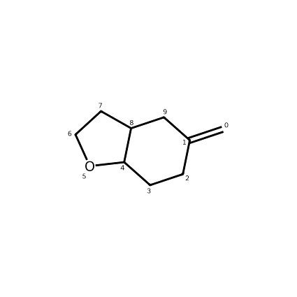 C=C1CCC2OCCC2C1